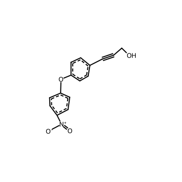 O=[N+]([O-])c1ccc(Oc2ccc(C#CCO)cc2)cc1